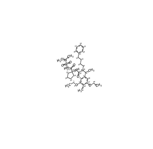 CCOc1cc(C(C)N(CCCCc2ccccc2)C(=O)NC2(C(=O)NS(=O)(=O)N(C)C)CCCC2)cc(OCC)c1C